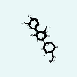 Fc1ccc(-c2c(F)cc([C@H]3CC[C@H](CBr)CC3)cc2F)cc1F